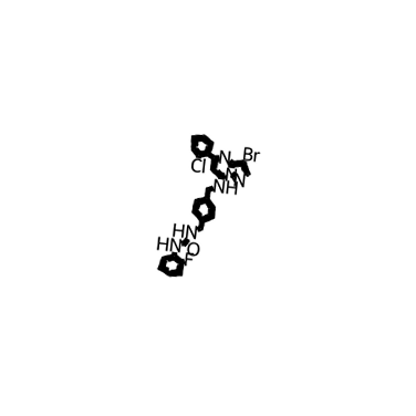 O=C(NCc1ccc(CNc2cc(-c3ccccc3Cl)nc3c(Br)cnn23)cc1)Nc1ccccc1F